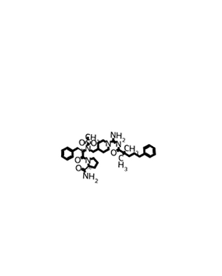 CC(C)(CCCc1ccccc1)C(=O)N=C(N)N1CCC(CN([C@H](Cc2ccccc2)C(=O)N2CCC[C@H]2C(N)=O)S(C)(=O)=O)CC1